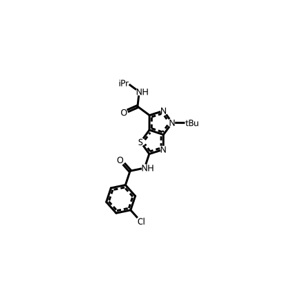 CC(C)NC(=O)c1nn(C(C)(C)C)c2nc(NC(=O)c3cccc(Cl)c3)sc12